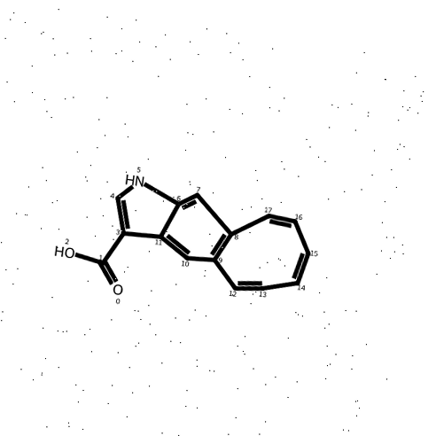 O=C(O)c1c[nH]c2cc3c(cc12)C=CC=CC=C3